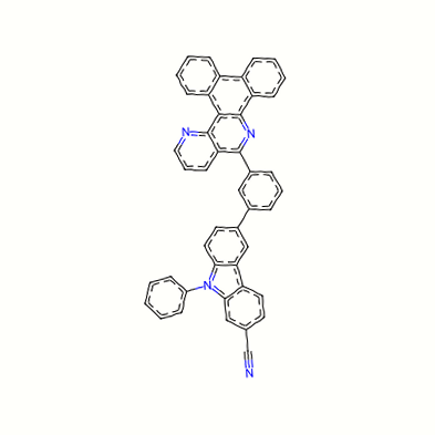 N#Cc1ccc2c3cc(-c4cccc(-c5nc6c7ccccc7c7ccccc7c6c6ncccc56)c4)ccc3n(-c3ccccc3)c2c1